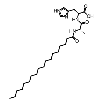 CCCCCCCCCCCCCCCCCC(=O)N[C@@H](C)C(=O)N[C@@H](Cc1c[nH]cn1)C(=O)O